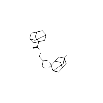 CC12CC3CC(C1)C1(OCC(COC(=O)C45CC6CC(CC(C6)C4)C5)O1)C(C3)C2